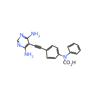 Nc1ncnc(N)c1C#Cc1ccc(N(C(=O)O)c2ccccc2)cc1